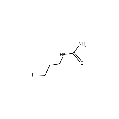 NC(=O)BCCCI